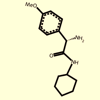 COc1ccc([C@H](N)C(=O)NC2CCCCC2)cc1